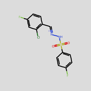 O=S(=O)(N/N=C/c1ccc(F)cc1Cl)c1ccc(F)cc1